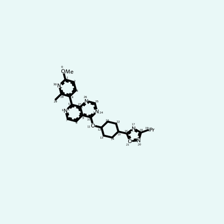 COc1ccc(-c2nccc3c(OC4CCC(c5nc(C(C)C)no5)CC4)ncnc23)c(C)n1